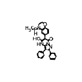 CPN1CCOc2ccc(-c3c(O)[nH]c4c(-c5ccccc5)c(-c5ccccc5)nn4c3=O)cc21